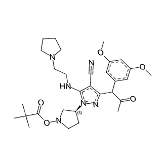 COc1cc(OC)cc(C(C(C)=O)c2nn([C@H]3CCN(OC(=O)C(C)(C)C)C3)c(NCCN3CCCC3)c2C#N)c1